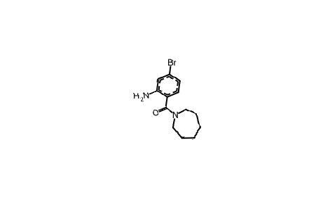 Nc1cc(Br)ccc1C(=O)N1CCCCCC1